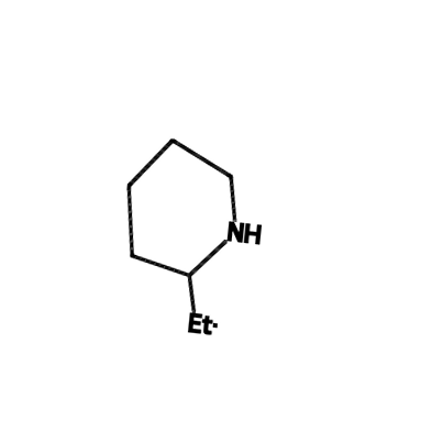 C[CH]C1CCCCN1